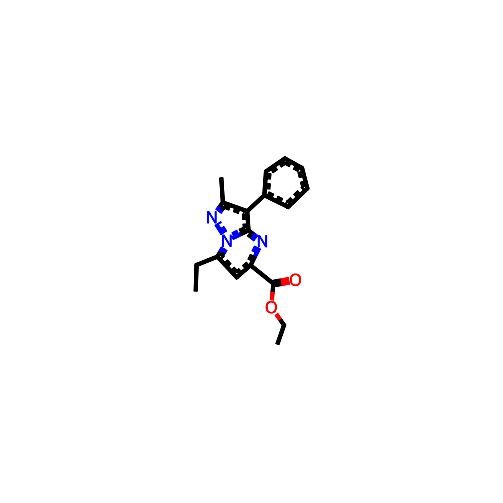 CCOC(=O)c1cc(CC)n2nc(C)c(-c3ccccc3)c2n1